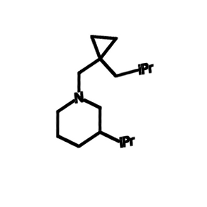 CC(C)CC1(CN2CCCC(C(C)C)C2)CC1